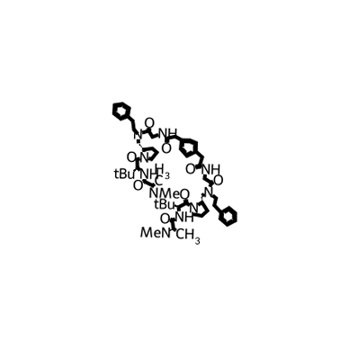 CN[C@@H](C)C(=O)N[C@H](C(=O)N1CCC[C@H]1CN(CCc1ccccc1)C(=O)CNC(=O)Cc1ccc(CC(=O)NCC(=O)N(CCc2ccccc2)C[C@@H]2CCCN2C(=O)[C@@H](NC(=O)[C@H](C)NC)C(C)(C)C)cc1)C(C)(C)C